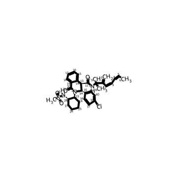 C=C(/C=C\C=C/C)C(C)(C)NC(=O)[C@@H]1c2ccccc2C(=O)N([C@H]2CCCC[C@@H]2NS(C)(=O)=O)[C@H]1c1ccc(Cl)cc1